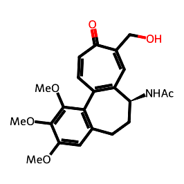 COc1cc2c(c(OC)c1OC)-c1ccc(=O)c(CO)cc1[C@@H](NC(C)=O)CC2